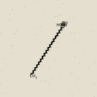 CCCCCCCCCCCCCCCCCCCCCCCCCCCCCCCCCCOP(=O)(O)O